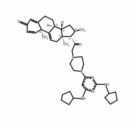 C[C@@H]1C[C@H]2[C@@H]3CCC4=CC(=O)C=C[C@]4(C)C3=CC[C@]2(C)[C@H]1C(=O)CN1CCN(c2cc(NC3CCCC3)nc(NC3CCCC3)n2)CC1